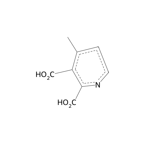 Cc1ccnc(C(=O)O)c1C(=O)O